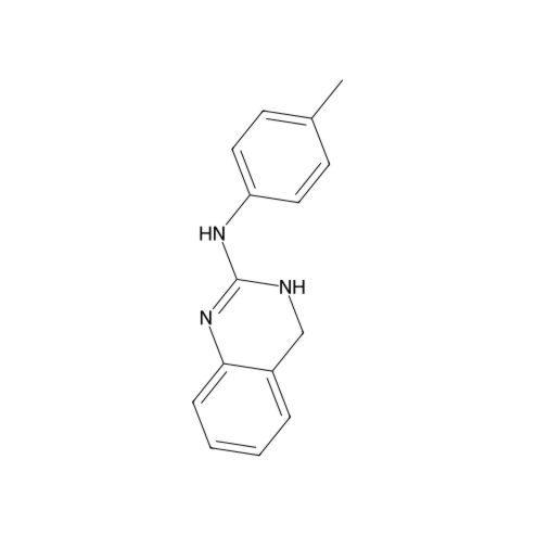 Cc1ccc(NC2=Nc3ccccc3CN2)cc1